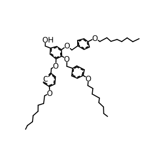 CCCCCCCCOc1ccc(COc2cc(CO)cc(OCc3ccc(OCCCCCCCC)cc3)c2OCc2ccc(OCCCCCCCC)cc2)cc1